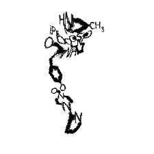 Cc1c[nH]nc1S(=O)(=O)N1CCC[C@H]1C(=O)N[C@@H](Cc1ccc(OC(=O)N2CCN(c3ccccn3)CC2)cc1)C(=O)OC(C)C